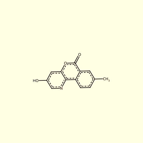 Cc1ccc2c(c1)c(=O)oc1cc(O)cnc12